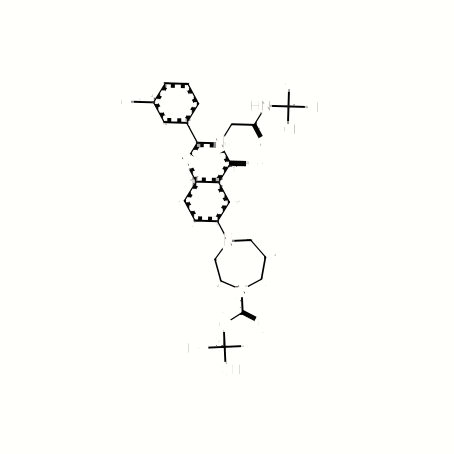 CC(C)(C)NC(=O)Cn1c(-c2cccc(Cl)c2)nc2ccc(N3CCCN(C(=O)OC(C)(C)C)CC3)cc2c1=O